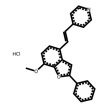 COc1ccc(C=Cc2ccncc2)c2cc(-c3ccccc3)oc12.Cl